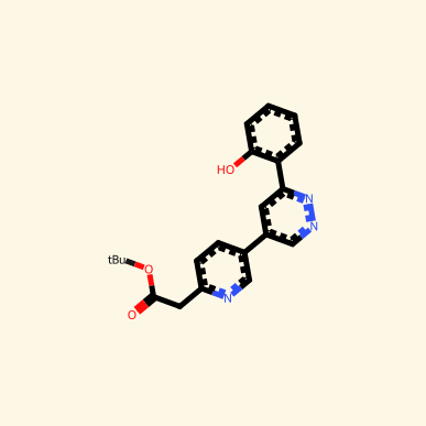 CC(C)(C)OC(=O)Cc1ccc(-c2cnnc(-c3ccccc3O)c2)cn1